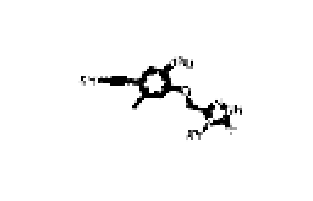 CCCC#Cc1cc(C(C)(C)C)c(OCc2n[nH]c(=O)n2C(C)C)cc1C